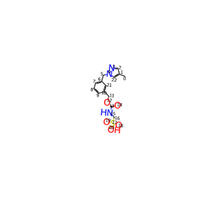 Cc1cnn(Cc2cccc(COC(=O)NCS(=O)(=O)O)c2)c1